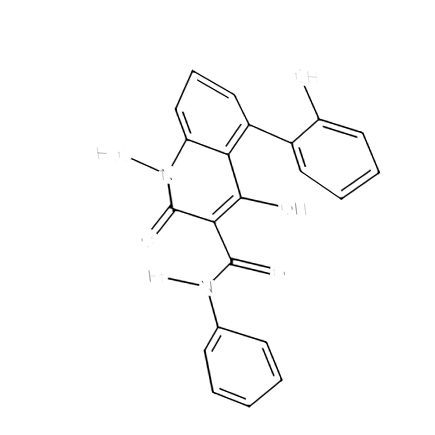 CCN(C(=O)c1c(O)c2c(-c3ccccc3C)cccc2n(C)c1=O)c1ccccc1